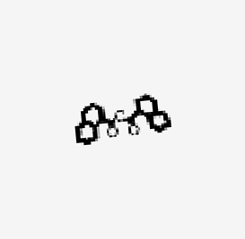 O=C(OC(=O)C1=CCCc2ccccc21)C1=CCCc2ccccc21